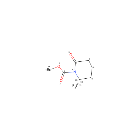 CC(C)(C)OC(=O)N1C(=O)CCC[C@@H]1C(F)(F)F